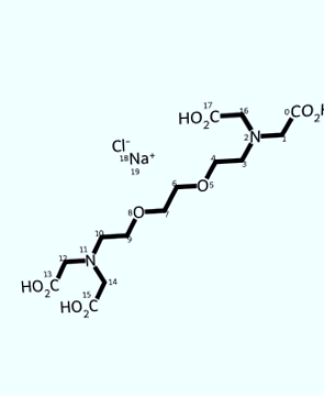 O=C(O)CN(CCOCCOCCN(CC(=O)O)CC(=O)O)CC(=O)O.[Cl-].[Na+]